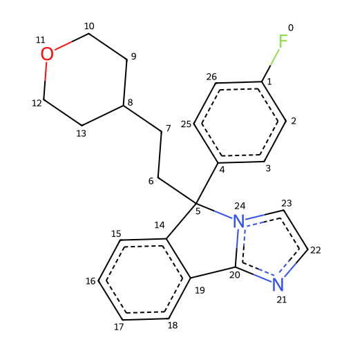 Fc1ccc(C2(CCC3CCOCC3)c3ccccc3-c3nccn32)cc1